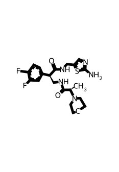 C[C@@H](C(=O)NC[C@H](C(=O)NCc1cnc(N)s1)c1ccc(F)c(F)c1)N1CCCCC1